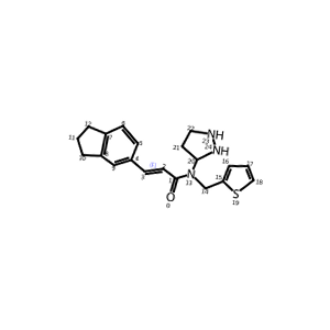 O=C(/C=C/c1ccc2c(c1)CCC2)N(Cc1cccs1)C1CCNN1